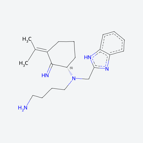 CC(C)=C1CCC[C@H](N(CCCCN)Cc2nc3ccccc3[nH]2)C1=N